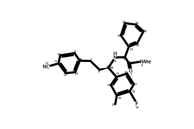 CNC(=O)C(N[C@H](CCc1ccc(C#N)cc1)c1ccc(F)c(C)c1)c1ccccc1